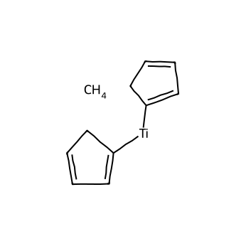 C.C1=CC[C]([Ti][C]2=CC=CC2)=C1